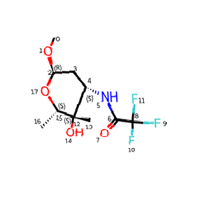 CO[C@H]1C[C@H](NC(=O)C(F)(F)F)[C@](C)(O)[C@H](C)O1